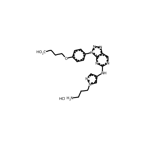 Cl.NCCCn1cc(Nc2ncc3nnn(-c4ccc(OCCCC(=O)O)cc4)c3n2)cn1